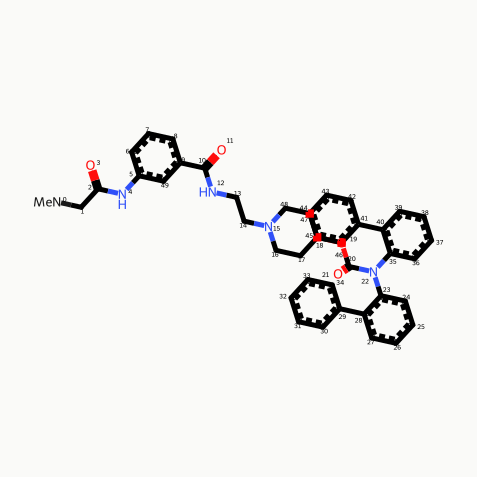 CNCC(=O)Nc1cccc(C(=O)NCCN2CCC(OC(=O)N(c3ccccc3-c3ccccc3)c3ccccc3-c3ccccc3)CC2)c1